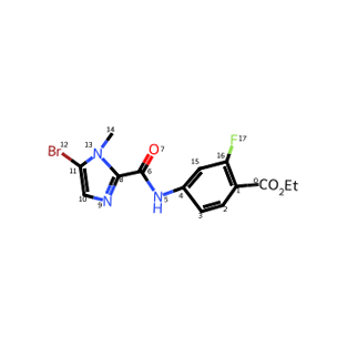 CCOC(=O)c1ccc(NC(=O)c2ncc(Br)n2C)cc1F